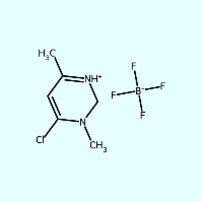 CC1=[NH+]CN(C)C(Cl)=C1.F[B-](F)(F)F